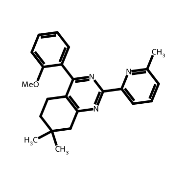 COc1ccccc1-c1nc(-c2cccc(C)n2)nc2c1CCC(C)(C)C2